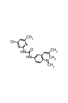 C=Nc1ccc(NC(=O)Nc2nc(C)cc(Cl)n2)cc1C=C(C)C